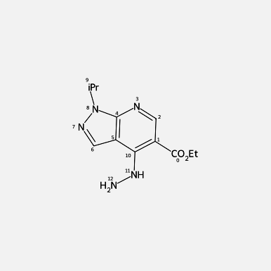 CCOC(=O)c1cnc2c(cnn2C(C)C)c1NN